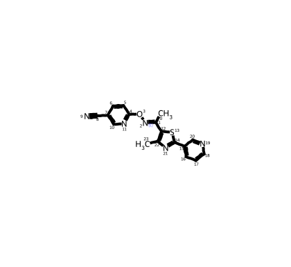 C/C(=N\Oc1ccc(C#N)cn1)c1sc(-c2cccnc2)nc1C